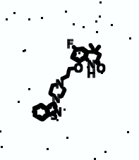 CC1(C)CC(=O)Nc2c(OCCCN3CCN(c4nsc5ccccc45)CC3)cc(F)cc21